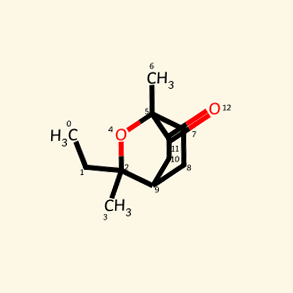 CCC1(C)OC2(C)CCC1CC2=O